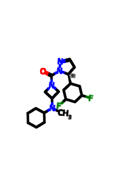 CN(C1CCCCC1)C1CN(C(=O)N2N=CC[C@H]2C2CC(F)CC(F)C2)C1